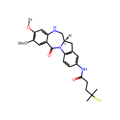 CCOc1cc2c(cc1OC)C(=O)N1c3ccc(NC(=O)CCC(C)(C)S)cc3C[C@H]1CN2